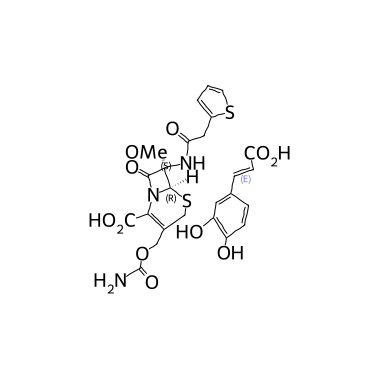 CO[C@@]1(NC(=O)Cc2cccs2)C(=O)N2C(C(=O)O)=C(COC(N)=O)CS[C@@H]21.O=C(O)/C=C/c1ccc(O)c(O)c1